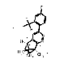 CC1(C)[C@H]2CC[C@]1(C)c1nnc(-c3ccc(F)cc3C(F)(F)F)cc12